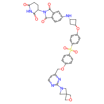 O=C1CCC(N2C(=O)c3ccc(N[C@H]4C[C@H](Oc5ccc(S(=O)(=O)c6ccc(OCc7ccnc(N8CC9(COC9)C8)n7)cc6)cc5)C4)cc3C2=O)C(=O)N1